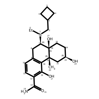 CCN(CC1CCC1)[C@@H]1Cc2ccc(C(N)=O)c(O)c2[C@@]2(C)C[C@H](O)CC[C@@]12O